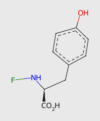 O=C(O)[C@H](Cc1ccc(O)cc1)NF